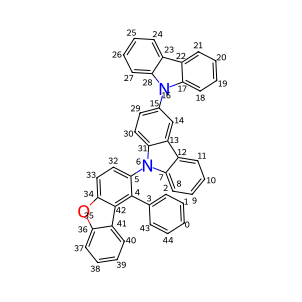 c1ccc(-c2c(-n3c4ccccc4c4cc(-n5c6ccccc6c6ccccc65)ccc43)ccc3oc4ccccc4c23)cc1